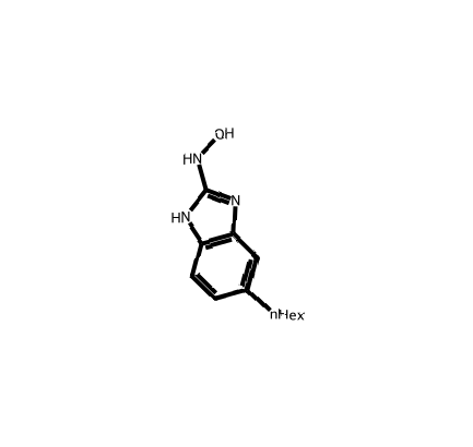 CCCCCCc1ccc2[nH]c(NO)nc2c1